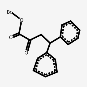 O=C(CC(c1ccccc1)c1ccccc1)C(=O)OBr